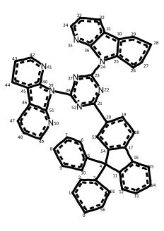 c1ccc(C2(c3ccccc3)c3ccccc3-c3ccc(-c4nc(-n5c6ccccc6c6cccnc65)nc(-n5c6ncccc6c6cccnc65)n4)cc32)cc1